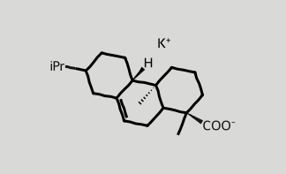 CC(C)C1CC[C@H]2C(=CCC3[C@](C)(C(=O)[O-])CCC[C@@]32C)C1.[K+]